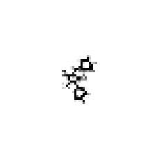 O=C1C(Cl)=C(c2ccc(Cl)cc2)C(=O)N1Cc1cc(Cl)cc(Cl)c1